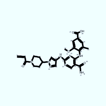 C=CC(=O)N1CCC(n2cc(Nc3ncc(C(N)=O)c(Nc4c(C)cc(C(=O)O)cc4OC)n3)cn2)CC1